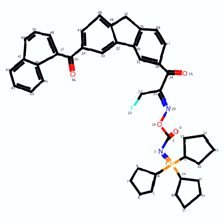 O=C(N=P(C1CCCC1)(C1CCCC1)C1CCCC1)O/N=C(\CF)C(=O)c1ccc2c(c1)-c1cc(C(=O)c3cccc4ccccc34)ccc1C2